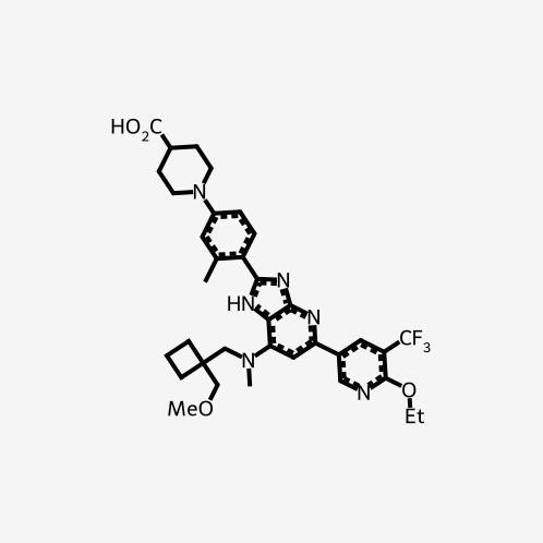 CCOc1ncc(-c2cc(N(C)CC3(COC)CCC3)c3[nH]c(-c4ccc(N5CCC(C(=O)O)CC5)cc4C)nc3n2)cc1C(F)(F)F